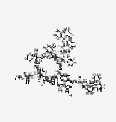 C[C@@H](O)[C@H](NC(=O)[C@@H]1CSSC[C@H](NC(=O)[C@@H](Cc2ccccc2)NC(=O)CCSC(c2ccccc2)(c2ccccc2)c2ccccc2)C(=O)N[C@@H](Cc2ccc(O)cc2)C(=O)N[C@H](Cc2c[nH]c3ccccc23)C(=O)N[C@@H](CCCCNC(=O)OC(C)(C)C)C(=O)N[C@@H]([C@@H](C)O)C(=O)N1)C(=O)NCCNC(=O)CCSC(c1ccccc1)(c1ccccc1)c1ccccc1